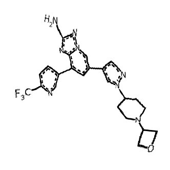 Nc1nc2c(-c3ccc(C(F)(F)F)nc3)cc(-c3cnn(C4CCN(C5COC5)CC4)c3)cn2n1